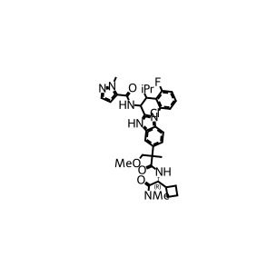 CNC(=O)[C@H](NC(=O)C(C)(COC)c1ccc2nc(C(NC(=O)c3ccnn3C)C(c3c(F)cccc3Cl)C(C)C)[nH]c2c1)C1CCC1